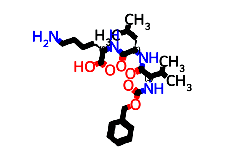 CC(C)C[C@H](NC(=O)[C@@H](NC(=O)OCc1ccccc1)C(C)C)C(=O)N[C@@H](CCCCN)C(=O)O